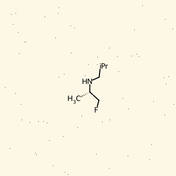 CC(C)CN[C@@H](C)CF